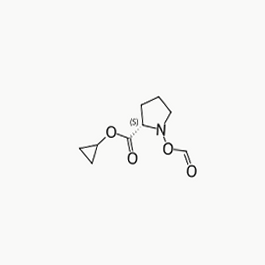 O=CON1CCC[C@H]1C(=O)OC1CC1